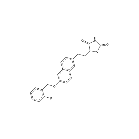 O=C1NC(=O)C(CCc2ccc3cc(OCc4ccccc4F)ccc3c2)S1